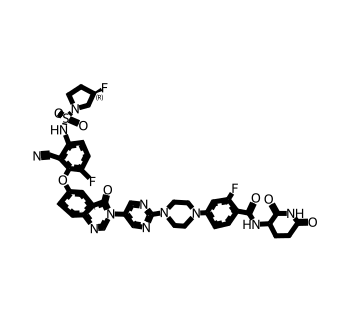 N#Cc1c(NS(=O)(=O)N2CC[C@@H](F)C2)ccc(F)c1Oc1ccc2ncn(-c3cnc(N4CCN(c5ccc(C(=O)NC6CCC(=O)NC6=O)c(F)c5)CC4)nc3)c(=O)c2c1